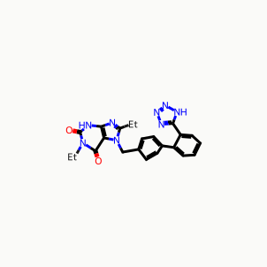 CCc1nc2[nH]c(=O)n(CC)c(=O)c2n1Cc1ccc(-c2ccccc2-c2nnn[nH]2)cc1